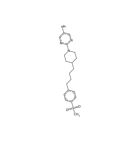 CCCc1cnc(N2CCC(CCCCc3ccc(S(C)(=O)=O)cc3)CC2)nc1